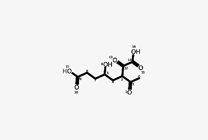 CC(=O)C(CC(O)CCC(=O)O)C(=O)C(=O)O